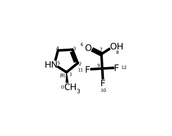 C[C@@H]1C=CCN1.O=C(O)C(F)(F)F